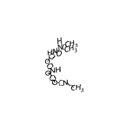 CCCCN1CCC(Oc2ccc(C(=O)Nc3ccc(Oc4ccc(NC(=O)NC(CC)CC)cc4)cc3)cc2)CC1